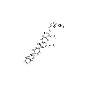 C=C(CCNC(=C)c1ccc(NC(CCCC)c2ccc(C3=Nc4ccccc4C3)cc2)cc1)OCC